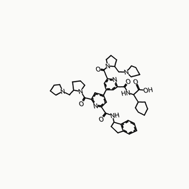 O=C(NC1CCc2ccccc21)c1cc(-c2cc(C(=O)NC(C(=O)O)C3CCCCC3)nc(C(=O)N3CCCC3CN3CCCC3)c2)cc(C(=O)N2CCCC2CN2CCCC2)n1